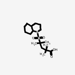 CC(C)(CC(C)(C)S(=O)(=O)N1CCCC2CCCCC21)C(=O)O